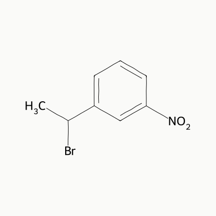 CC(Br)c1cccc([N+](=O)[O-])c1